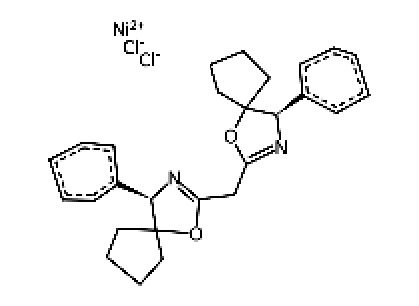 [Cl-].[Cl-].[Ni+2].c1ccc([C@H]2N=C(CC3=N[C@H](c4ccccc4)C4(CCCC4)O3)OC23CCCC3)cc1